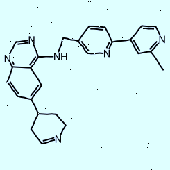 Cc1cc(-c2ccc(CNc3ncnc4ccc(C5CC=NCC5)cc34)cn2)ccn1